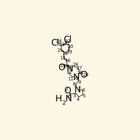 NC(=O)C1CCCN1CCN1CCN(C(=O)C=Cc2ccc(Cl)c(Cl)c2)CCC1=O